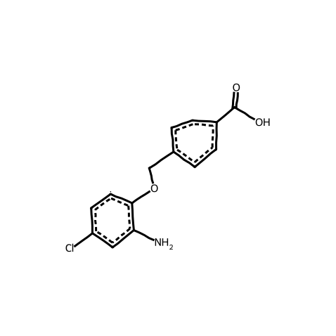 Nc1cc(Cl)c[c]c1OCc1ccc(C(=O)O)cc1